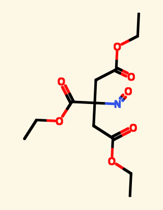 CCOC(=O)CC(CC(=O)OCC)(N=O)C(=O)OCC